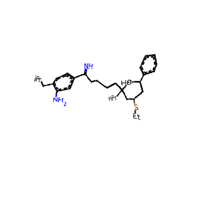 CCCC1(CCCCC(=N)c2ccc(CC(C)C)c(N)c2)BC(c2ccccc2)CC(SCC)C1